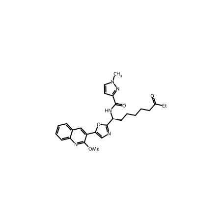 CCC(=O)CCCCC[C@H](NC(=O)c1ccn(C)n1)c1ncc(-c2cc3ccccc3nc2OC)o1